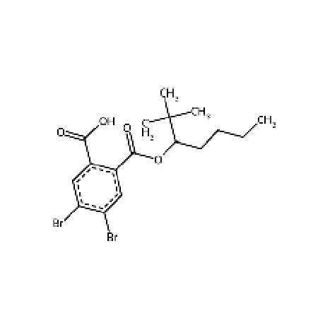 CCCCC(OC(=O)c1cc(Br)c(Br)cc1C(=O)O)C(C)(C)C